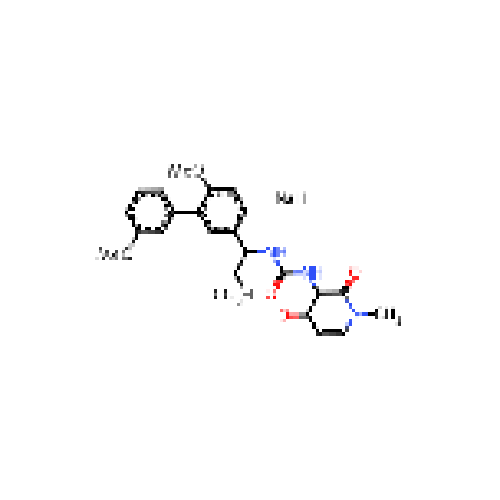 COc1cccc(-c2cc(C(CC(=O)O)NC(=O)NC3C(=O)C=CN(C)C3=O)ccc2OC)c1.[NaH]